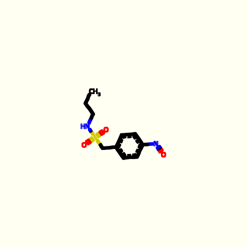 CCCNS(=O)(=O)Cc1ccc(N=O)cc1